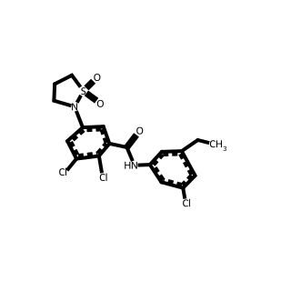 CCc1cc(Cl)cc(NC(=O)c2cc(N3CCCS3(=O)=O)cc(Cl)c2Cl)c1